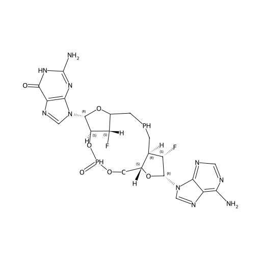 Nc1nc2c(ncn2[C@@H]2OC3CPC[C@H]4[C@H](F)[C@H](n5cnc6c(N)ncnc65)O[C@@H]4CO[PH](=O)O[C@@H]2[C@H]3F)c(=O)[nH]1